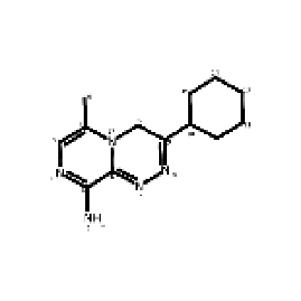 CC1=CN=C(N)C2=NN=C(C3CCCCC3)CN12